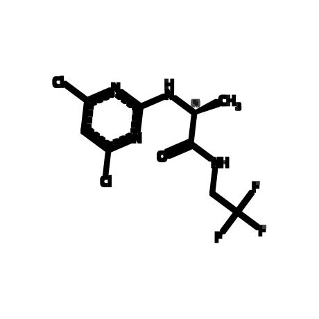 C[C@H](Nc1nc(Cl)cc(Cl)n1)C(=O)NCC(F)(F)F